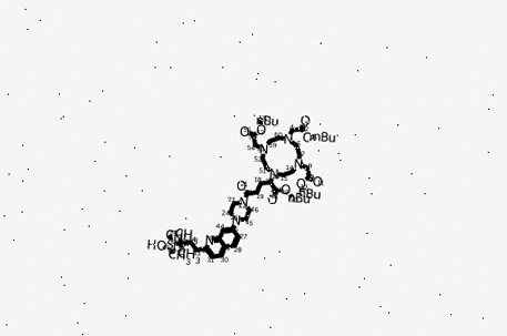 CCCCOC(=O)CN1CCN(CC(=O)OCCCC)CCN(C(CCC(=O)N2CCN(c3ccc4ccc(CCC(C)(C)[Si](C)(C)O)nc4c3)CC2)C(=O)OCCCC)CCN(CC(=O)OCCCC)CC1